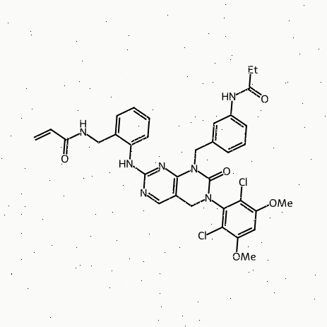 C=CC(=O)NCc1ccccc1Nc1ncc2c(n1)N(Cc1cccc(NC(=O)CC)c1)C(=O)N(c1c(Cl)c(OC)cc(OC)c1Cl)C2